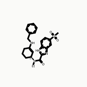 CCN(C(=O)c1nc2cc(S(C)(=O)=O)ccc2[nH]1)[C@@H]1C=C(NCc2ccccc2)CCC1